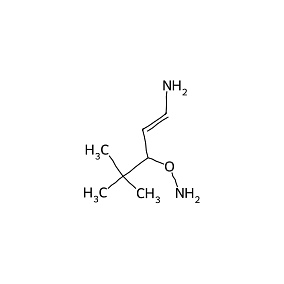 CC(C)(C)C(/C=C/N)ON